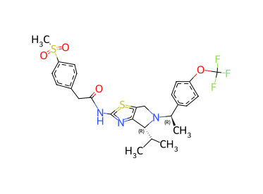 CC(C)[C@@H]1c2nc(NC(=O)Cc3ccc(S(C)(=O)=O)cc3)sc2CN1[C@H](C)c1ccc(OC(F)(F)F)cc1